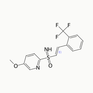 COc1ccc(S(=N)(=O)/C=C/c2ccccc2C(F)(F)F)nc1